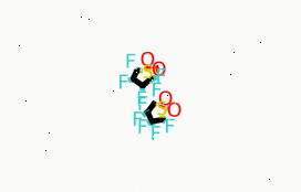 O=S1(=O)C(F)C(F)C(F)C1(F)F.O=S1(=O)CC(F)(F)C(F)(F)C1F